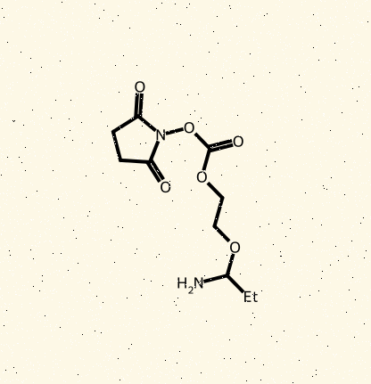 CCC(N)OCCOC(=O)ON1C(=O)CCC1=O